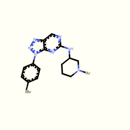 CC(=O)N1CCCC(Nc2ncc3nnn(-c4ccc(C(C)(C)C)cc4)c3n2)C1